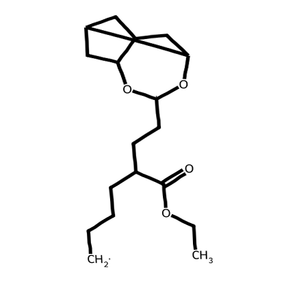 [CH2]CCCC(CC[C]1OC2CC3CC2CC3O1)C(=O)OCC